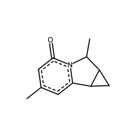 Cc1cc2n(c(=O)c1)C(C)C1CC21